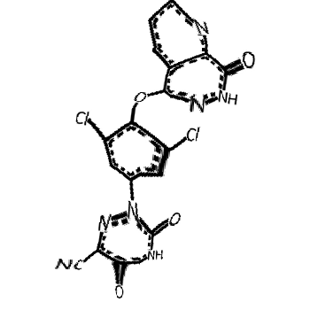 N#Cc1nn(-c2cc(Cl)c(Oc3n[nH]c(=O)c4ncccc34)c(Cl)c2)c(=O)[nH]c1=O